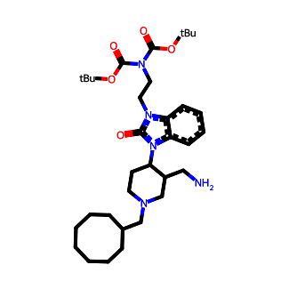 CC(C)(C)OC(=O)N(CCn1c(=O)n(C2CCN(CC3CCCCCCC3)CC2CN)c2ccccc21)C(=O)OC(C)(C)C